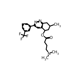 CC1Cc2nnc(-c3cccc(C(F)(F)F)c3)cc2C(OC(=O)CCCN(C)C)C1